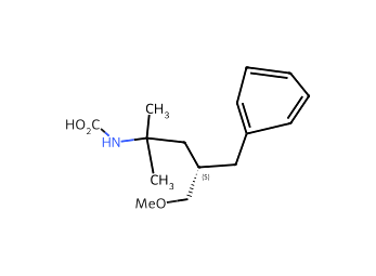 COC[C@@H](Cc1ccccc1)CC(C)(C)NC(=O)O